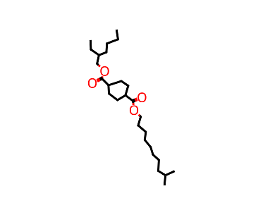 CCCCC(CC)COC(=O)C1CCC(C(=O)OCCCCCCCCC(C)C)CC1